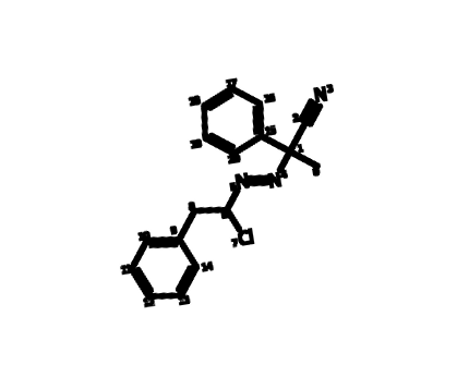 CC(C#N)(N=NC(Cl)Cc1ccccc1)c1ccccc1